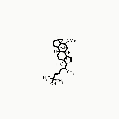 CO[C@@H]1C[C@H]2[C@@H]3CC[C@H]([C@H](C)C/C=C/C(C)(C)O)[C@@]3(C)CC[C@@H]2[C@@]2(C)CC[C@H]3C[C@]312